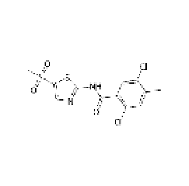 Cc1cc(Cl)c(C(=O)Nc2ncc(S(C)(=O)=O)s2)cc1Cl